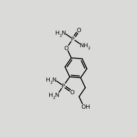 NP(N)(=O)Oc1ccc(CCO)c(P(N)(N)=O)c1